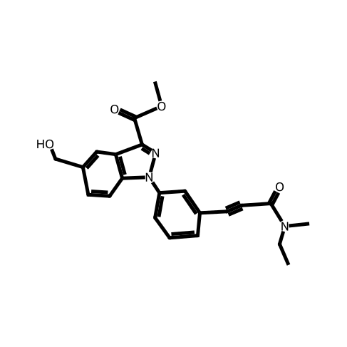 CCN(C)C(=O)C#Cc1cccc(-n2nc(C(=O)OC)c3cc(CO)ccc32)c1